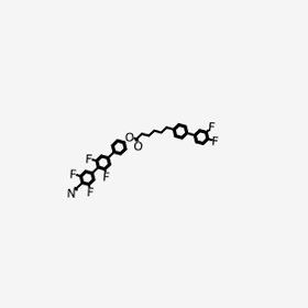 N#Cc1c(F)cc(-c2c(F)cc(-c3ccc(OC(=O)CCCCCc4ccc(-c5ccc(F)c(F)c5)cc4)cc3)cc2F)cc1F